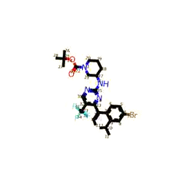 C/C=C(\c1ccc(Br)cc1C(C)C)c1nc(NC2CCCN(C(=O)OC(C)(C)C)C2)ncc1C(F)(F)F